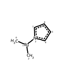 [CH3][Ru]([CH3])[n]1cccc1